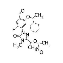 CC(N=O)OC(C)c1nn(-c2cc(OC(C)C3CCCCC3)c(C=O)cc2F)c(=O)n1C